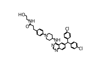 O=C(CCc1ccc(N2CCC(Nc3ncnc4ccc(C(c5ccc(Cl)cc5)c5ccc(Cl)cc5)cc34)CC2)cc1)NCCO